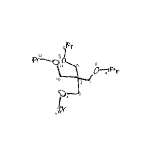 CC(C)OCC(COC(C)C)(COC(C)C)COC(C)C